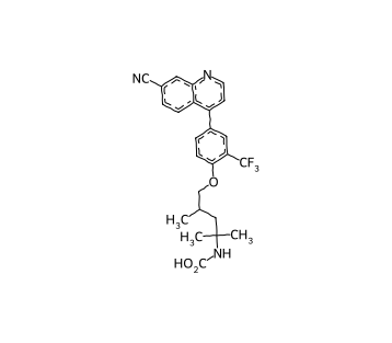 CC(COc1ccc(-c2ccnc3cc(C#N)ccc23)cc1C(F)(F)F)CC(C)(C)NC(=O)O